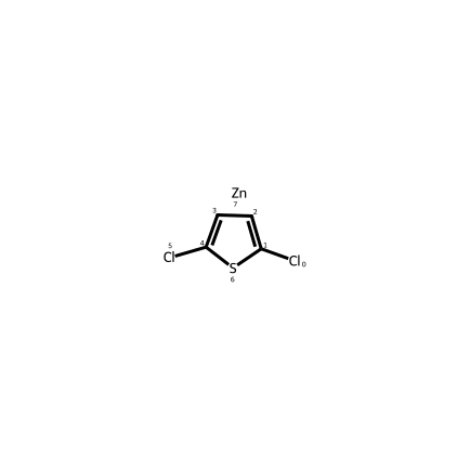 Clc1ccc(Cl)s1.[Zn]